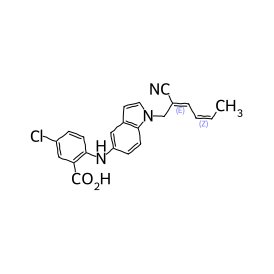 C/C=C\C=C(\C#N)Cn1ccc2cc(Nc3ccc(Cl)cc3C(=O)O)ccc21